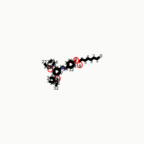 CCCCCCCC(=O)Oc1ccc(/C=C/c2cc(O[Si](CC)(CC)CC)cc(O[Si](CC)(CC)CC)c2)cc1